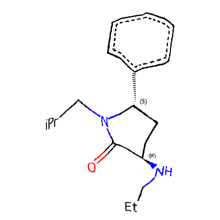 CCN[C@@H]1C[C@@H](c2ccccc2)N(CC(C)C)C1=O